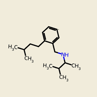 CC(C)CCc1cc[c]cc1CNC(C)C(C)C